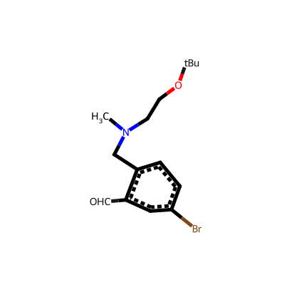 CN(CCOC(C)(C)C)Cc1ccc(Br)cc1C=O